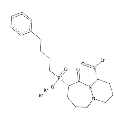 O=C([O-])[C@@H]1CCCN2CCC[C@H](P(=O)([O-])CCCCc3ccccc3)C(=O)N12.[K+].[K+]